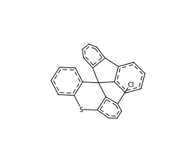 Clc1cccc2c1C1(c3ccccc3S2)c2ccccc2-c2ccccc21